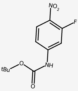 CC(C)(C)OC(=O)Nc1ccc([N+](=O)[O-])c(F)c1